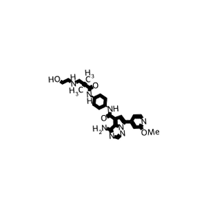 COc1cc(-c2cc(C(=O)N[C@H]3CC[C@H](NC(=O)C(C)(C)CNCCO)CC3)c3c(N)ncnn23)ccn1